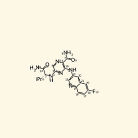 CC(C)[C@@H](Nc1cnc(C(N)=O)c(Nc2cnc3ccc(F)cc3c2)n1)C(N)=O